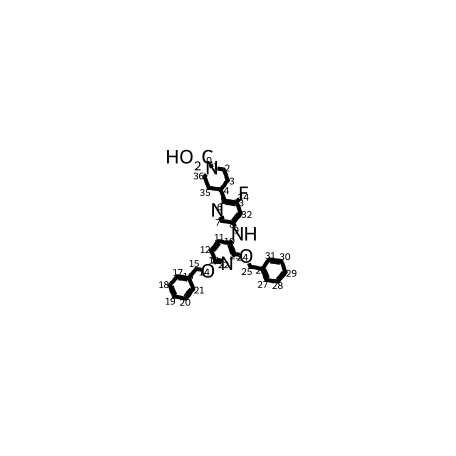 O=C(O)N1CCC(c2ncc(Nc3ccc(OCc4ccccc4)nc3OCc3ccccc3)cc2F)CC1